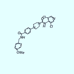 COc1ccc(CNC(=O)c2ccc(N3CCN(C(=O)Nc4c(Cl)cncc4Cl)CC3)cc2)cc1